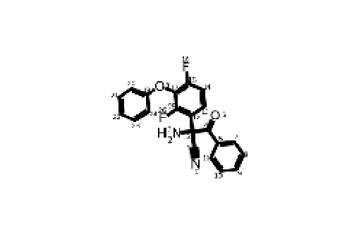 N#CC(N)(C(=O)c1ccccc1)c1ccc(F)c(Oc2ccccc2)c1F